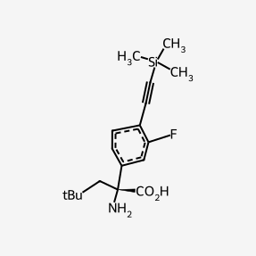 CC(C)(C)C[C@](N)(C(=O)O)c1ccc(C#C[Si](C)(C)C)c(F)c1